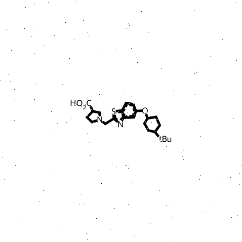 CC(C)(C)C1CCC(Oc2ccc3sc(CN4CCC(C(=O)O)C4)nc3c2)CC1